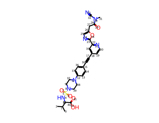 CC(C)[C@@H](NS(=O)(=O)N1CCN(c2ccc(C#Cc3ccnc(-c4ncc(CC(=O)N(C)C#N)o4)c3)cc2)CC1)C(=O)O